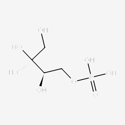 C[C@](O)(CO)[C@H](O)COP(=O)(O)O